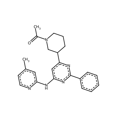 CC(=O)N1CCCC(c2cc(Nc3cc(C)ccn3)nc(-c3ccccc3)n2)C1